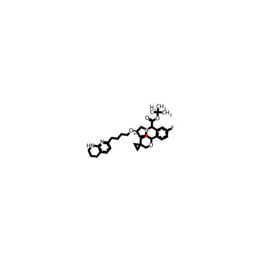 CC(C)(C)OC(=O)C(c1cc(F)ccc1C1CCC2(CC2)CO1)N1CC[C@@H](OCCCCc2ccc3c(n2)NCCC3)C1